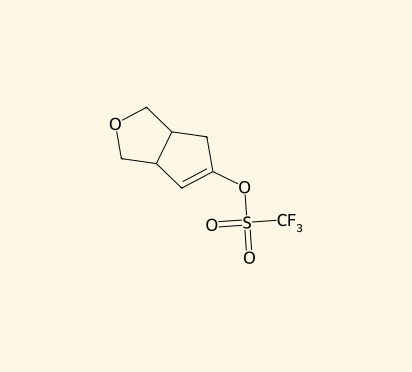 O=S(=O)(OC1=CC2COCC2C1)C(F)(F)F